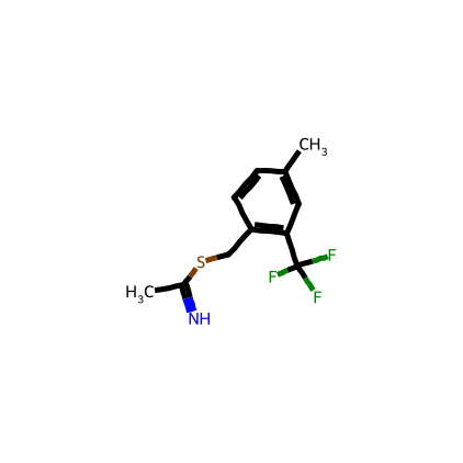 CC(=N)SCc1ccc(C)cc1C(F)(F)F